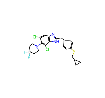 FC1(F)CCN(c2c(Cl)cc3nc(Cc4ccc(SCC5CC5)cc4)[nH]c3c2Cl)CC1